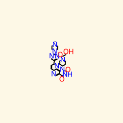 CN1CCN(c2ncc(-c3ccc4ncc5c(=O)[nH]c(=O)n(C6CCN(C(=O)CO)CC6)c5c4n3)cn2)CC1